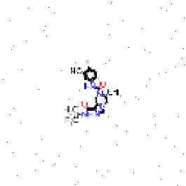 C[C@@H]1Cn2cnc(C(=O)N[C@@H](C)C(F)(F)F)c2CN1C(=O)Nc1ccc(F)c(C#N)c1